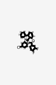 O=C(c1ccc(F)c(F)c1)n1c(-c2ccccc2-c2ccccc2)nc2cc(Cl)ccc21